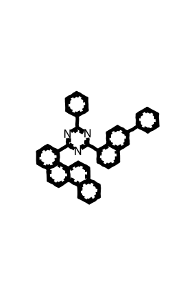 c1ccc(-c2ccc3c(-c4nc(-c5ccccc5)nc(-c5cccc6ccc7c8ccccc8ccc7c56)n4)cccc3c2)cc1